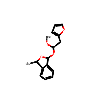 CC(C)(C)OC(Cc1ccco1)OC1OC(C(C)(C)C)c2ccccc21